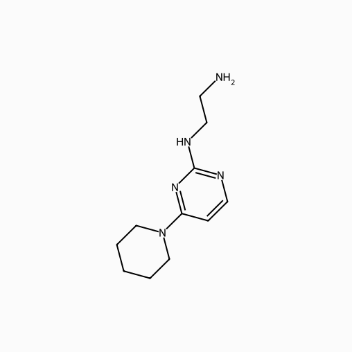 NCCNc1nccc(N2CCCCC2)n1